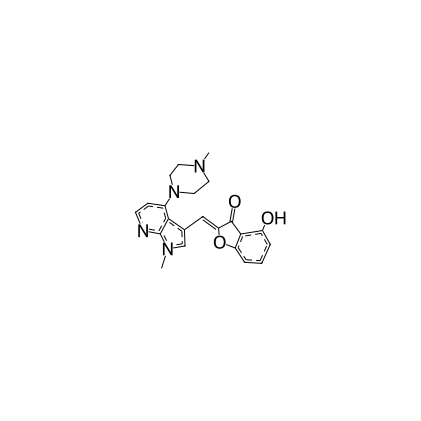 CN1CCN(c2ccnc3c2c(C=C2Oc4cccc(O)c4C2=O)cn3C)CC1